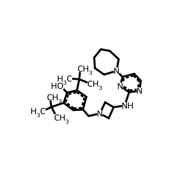 CC(C)(C)c1cc(CN2CC(Nc3nccc(N4CCCCCC4)n3)C2)cc(C(C)(C)C)c1O